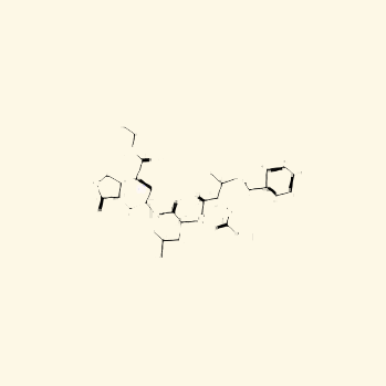 CCOC(=O)/C=C/[C@H](C[C@@H]1CCNC1=O)NC(=O)[C@H](CC(C)C)NC(=O)[C@@H](NC(=O)O)C(C)OCc1ccccc1